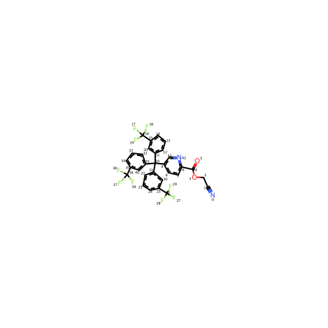 N#CCOC(=O)c1ccc(C(c2cccc(C(F)(F)F)c2)(c2cccc(C(F)(F)F)c2)c2cccc(C(F)(F)F)c2)cn1